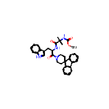 CC(C)(C)OC(=O)NC(C)(C)C(=O)NC(Cc1c[nH]c2ccccc12)C(=O)N1CCC2(CC1)c1ccccc1-c1ccccc12